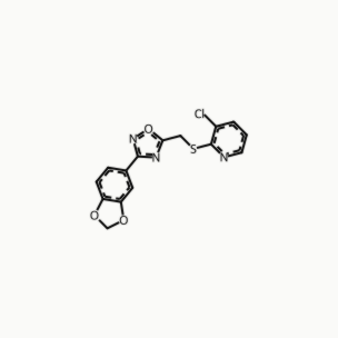 Clc1cccnc1SCc1nc(-c2ccc3c(c2)OCO3)no1